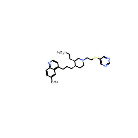 COc1ccc2nccc(CCC[C@@H]3CCN(CCSc4cncnc4)C[C@@H]3CCC(=O)O)c2c1